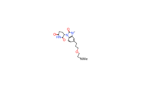 CNCCOCCCc1ccc2c(c1)n(C)c(=O)n2C1CCC(=O)NC1=O